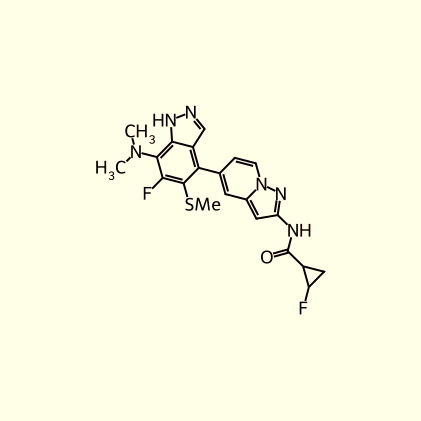 CSc1c(F)c(N(C)C)c2[nH]ncc2c1-c1ccn2nc(NC(=O)C3CC3F)cc2c1